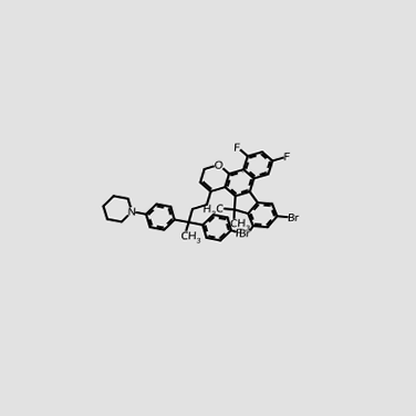 CC1(C)c2c(Br)cc(Br)cc2-c2c1c1c(c3c(F)cc(F)cc23)OCC=C1CCC(C)(c1ccc(F)cc1)c1ccc(N2CCCCC2)cc1